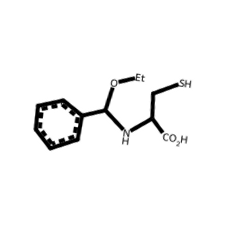 CCOC(NC(CS)C(=O)O)c1ccccc1